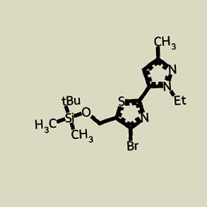 CCn1nc(C)cc1-c1nc(Br)c(CO[Si](C)(C)C(C)(C)C)s1